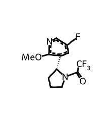 COc1ncc(F)cc1[C@H]1CCCN1C(=O)C(F)(F)F